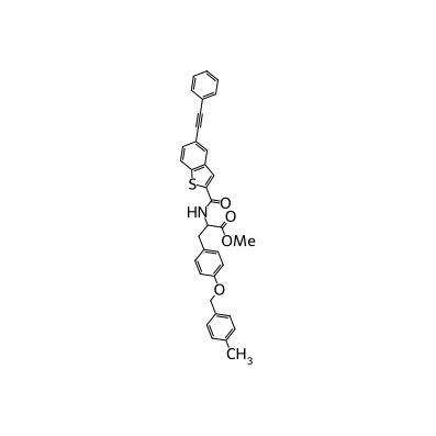 COC(=O)C(Cc1ccc(OCc2ccc(C)cc2)cc1)NC(=O)c1cc2cc(C#Cc3ccccc3)ccc2s1